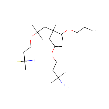 CCC(CC(C)OCCC(C)(C)N)(CC(C)(C)OCCC(C)(N)S)C(C)OCCC(C)C